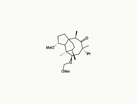 COCO[C@@H]1C[C@@](C)(C(C)C)C(=O)[C@H](C)C23CC[C@@H](C)[C@]1(C)C2[C@H](OC)CC3